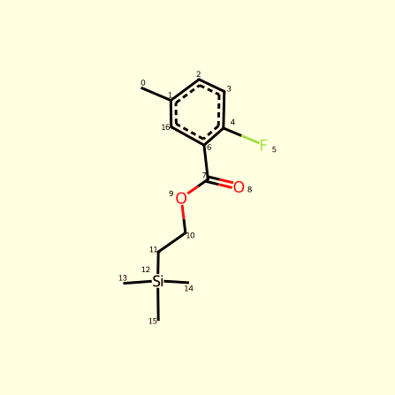 Cc1ccc(F)c(C(=O)OCC[Si](C)(C)C)c1